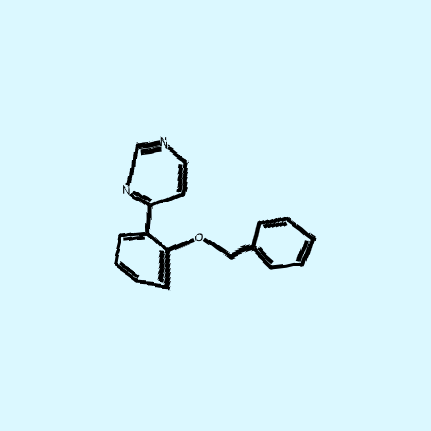 [c]1cc(-c2ccccc2OCc2ccccc2)ncn1